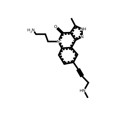 CNCC#Cc1ccc2c(c1)c1n[nH]c(C)c1c(=O)n2CCCN